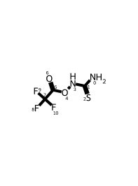 NC(=S)NOC(=O)C(F)(F)F